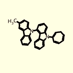 Cc1ccc2c(c1)c1ccccc1n2-c1cccc2c1c1ccccc1n2C1=CCC=CC=C1